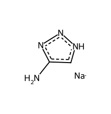 Nc1c[nH]nn1.[Na]